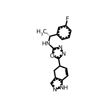 C[C@@H](Nc1nnc(C2C=Cc3[nH]ncc3C2)o1)c1cccc(F)c1